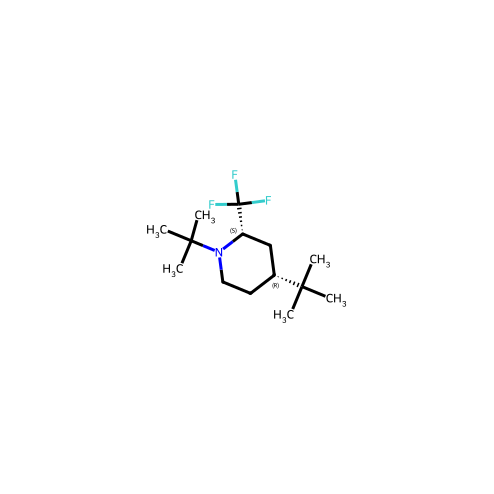 CC(C)(C)[C@@H]1CCN(C(C)(C)C)[C@H](C(F)(F)F)C1